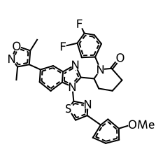 COc1cccc(-c2csc(-n3c(C4CCCC(=O)N4c4ccc(F)c(F)c4)nc4cc(-c5c(C)noc5C)ccc43)n2)c1